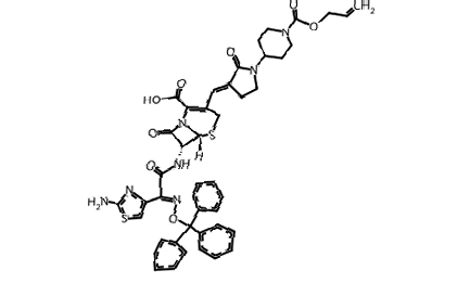 C=CCOC(=O)N1CCC(N2CCC(=CC3=C(C(=O)O)N4C(=O)[C@@H](NC(=O)C(=NOC(c5ccccc5)(c5ccccc5)c5ccccc5)c5csc(N)n5)[C@H]4SC3)C2=O)CC1